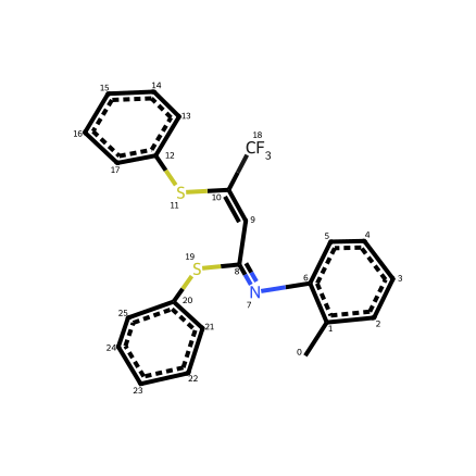 Cc1ccccc1N=C(C=C(Sc1ccccc1)C(F)(F)F)Sc1ccccc1